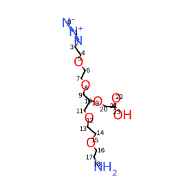 [N-]=[N+]=NCCOCCOCC(COCCOCCN)OCC(=O)O